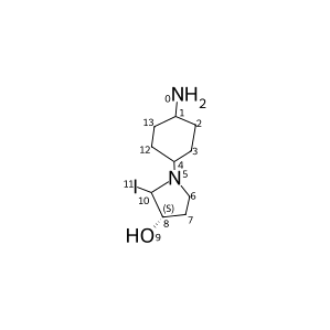 NC1CCC(N2CC[C@H](O)C2I)CC1